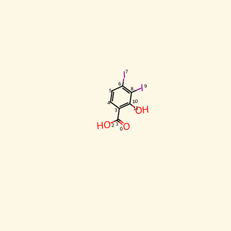 O=C(O)c1ccc(I)c(I)c1O